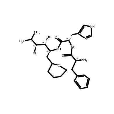 CC(C)[C@H](O)[C@H](O)[C@H](CC1CCCCC1)NC(=O)[C@H](Cc1c[nH]cn1)NC(=O)[C@@H](N)Cc1ccccc1